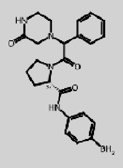 Bc1ccc(NC(=O)[C@@H]2CCCN2C(=O)C(c2ccccc2)N2CCNC(=O)C2)cc1